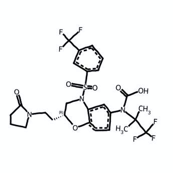 CC(C)(N(C(=O)O)c1ccc2c(c1)N(S(=O)(=O)c1cccc(C(F)(F)F)c1)C[C@@H](CCN1CCCC1=O)O2)C(F)(F)F